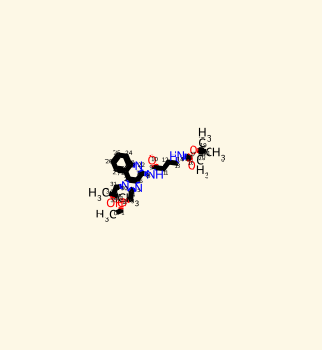 CCOCc1nc2c(NC(=O)CCCNC(=O)OC(C)(C)C)nc3ccccc3c2n1CC(C)(C)O